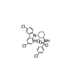 O=S(=O)(N[C@@H]1CCCC(n2c3ccc(Cl)cc3c3cc(Cl)ccc32)[C@H]1O)c1ccc(Cl)cc1